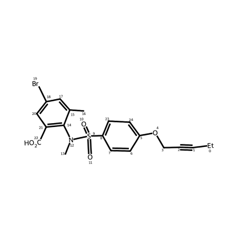 CCC#CCOc1ccc(S(=O)(=O)N(C)c2c(C)cc(Br)cc2C(=O)O)cc1